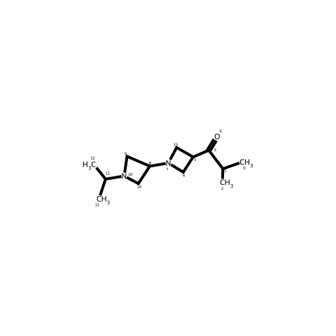 CC(C)C(=O)C1CN(C2CN(C(C)C)C2)C1